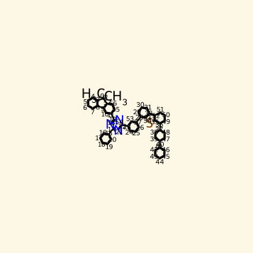 CC1(C)c2ccccc2-c2cc(-c3nc(-c4ccccc4)nc(-c4cccc(-c5cccc6c5sc5c(-c7ccc(-c8ccccc8)cc7)cccc56)c4)n3)ccc21